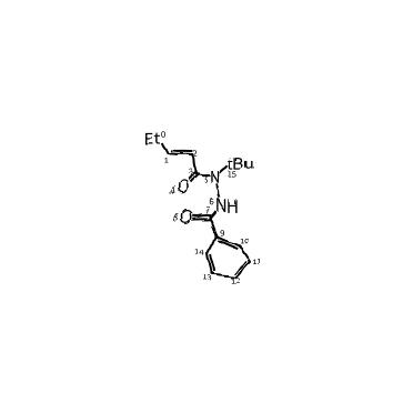 CC/C=C/C(=O)N(NC(=O)c1ccccc1)C(C)(C)C